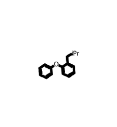 CC(C)Cc1ccccc1Oc1ccccc1